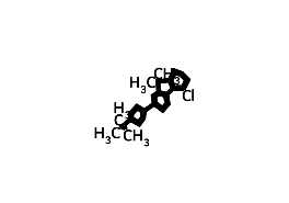 CC(C)(C)c1ccc(-c2ccc3c(c2)C(C)(C)c2cccc(Cl)c2-3)cc1